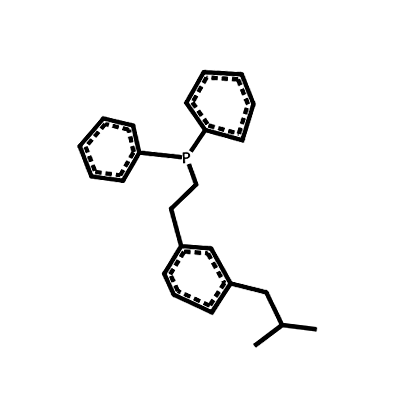 CC(C)Cc1cccc(CCP(c2ccccc2)c2ccccc2)c1